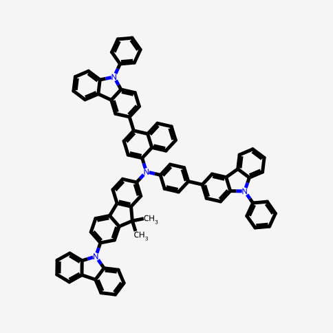 CC1(C)c2cc(N(c3ccc(-c4ccc5c(c4)c4ccccc4n5-c4ccccc4)cc3)c3ccc(-c4ccc5c(c4)c4ccccc4n5-c4ccccc4)c4ccccc34)ccc2-c2ccc(-n3c4ccccc4c4ccccc43)cc21